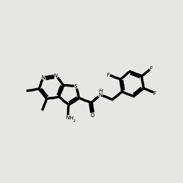 Cc1nnc2sc(C(=O)NCc3cc(F)c(F)cc3F)c(N)c2c1C